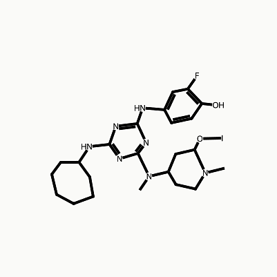 CN1CCC(N(C)c2nc(Nc3ccc(O)c(F)c3)nc(NC3CCCCCC3)n2)CC1OI